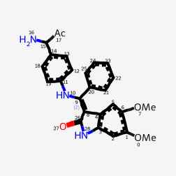 COc1cc2c(cc1OC)/C(=C(/Nc1ccc(C(N)C(C)=O)cc1)c1ccccc1)C(=O)N2